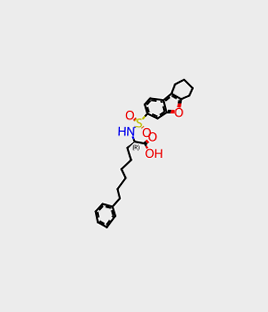 O=C(O)[C@@H](CCCCCCc1ccccc1)NS(=O)(=O)c1ccc2c3c(oc2c1)CCCC3